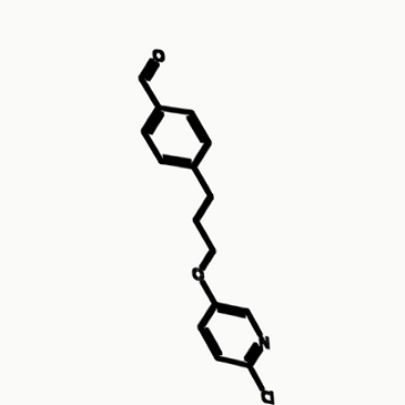 O=Cc1ccc(CCCOc2ccc(Cl)nc2)cc1